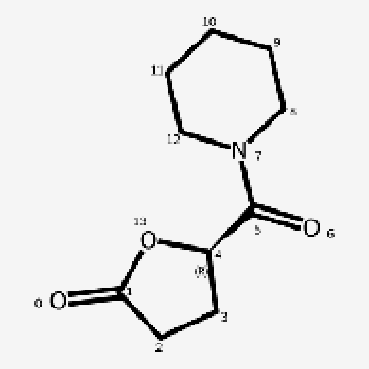 O=C1CC[C@H](C(=O)N2CCCCC2)O1